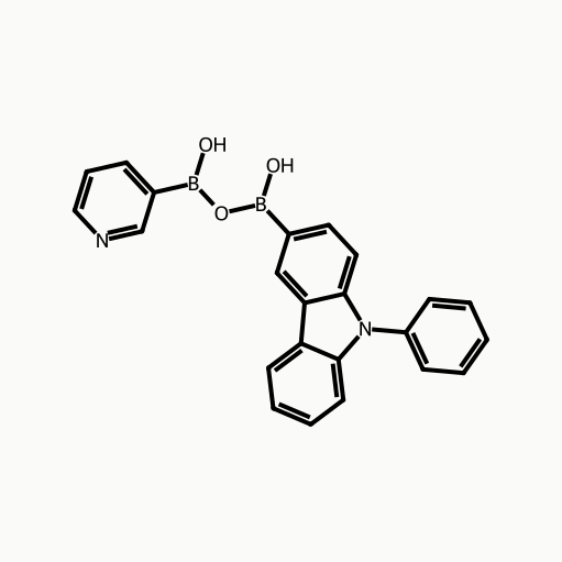 OB(OB(O)c1ccc2c(c1)c1ccccc1n2-c1ccccc1)c1cccnc1